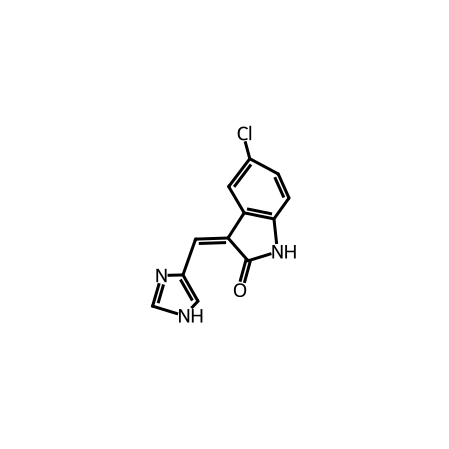 O=C1Nc2ccc(Cl)cc2C1=Cc1c[nH]cn1